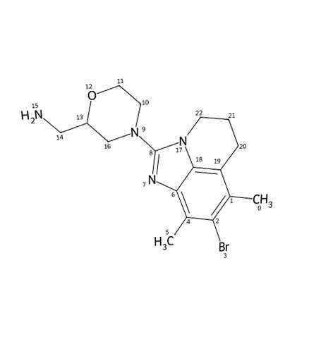 Cc1c(Br)c(C)c2nc(N3CCOC(CN)C3)n3c2c1CCC3